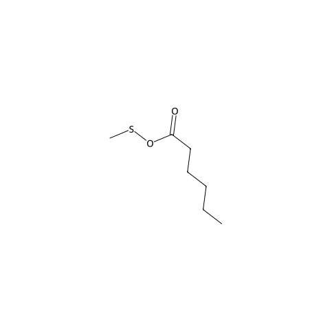 CCCCCC(=O)OSC